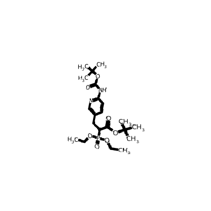 CCOP(=O)(OCC)C(Cc1ccc(NC(=O)OC(C)(C)C)nc1)C(=O)OC(C)(C)C